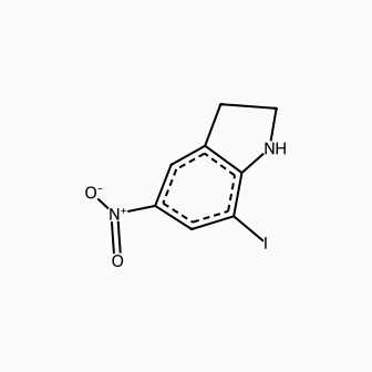 O=[N+]([O-])c1cc(I)c2c(c1)CCN2